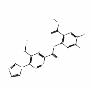 COC(=O)c1cc(F)c(F)cc1NC(=O)c1cc(CN)c(-n2ccnc2)nn1